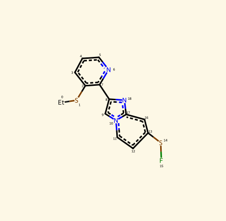 CCSc1cccnc1-c1cn2ccc(SF)cc2n1